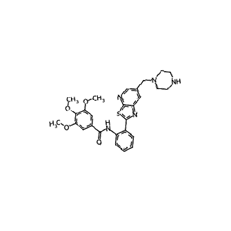 COc1cc(C(=O)Nc2ccccc2-c2nc3cc(CN4CCNCC4)cnc3s2)cc(OC)c1OC